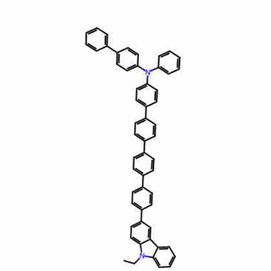 CCn1c2ccccc2c2cc(-c3ccc(-c4ccc(-c5ccc(-c6ccc(N(c7ccccc7)c7ccc(-c8ccccc8)cc7)cc6)cc5)cc4)cc3)ccc21